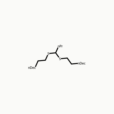 CCCCCCCCCCCCSC(CCC)SCCCCCCCCCCCC